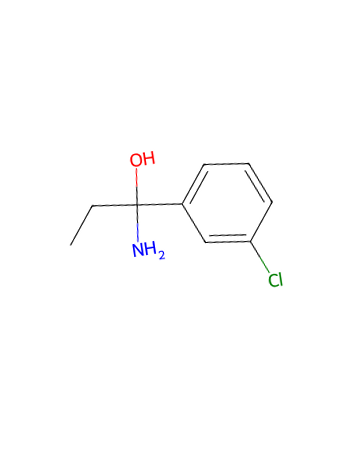 CCC(N)(O)c1cccc(Cl)c1